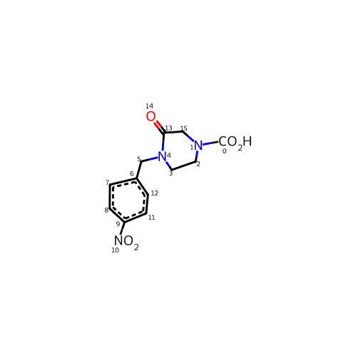 O=C(O)N1CCN(Cc2ccc([N+](=O)[O-])cc2)C(=O)C1